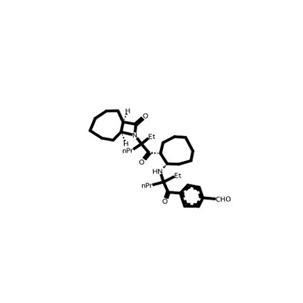 CCCC(CC)(N[C@H]1CCCCCC[C@H]1C(=O)C(CC)(CCC)N1C(=O)[C@@H]2CCCCCC[C@@H]21)C(=O)c1ccc(C=O)cc1